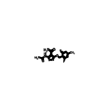 Cc1cc(F)c(COc2nsc(NC(N)=O)c2C(N)=O)c(F)c1